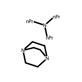 C1CN2CCN1CC2.CCCN(CCC)CCC